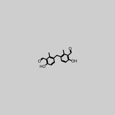 Cc1c(Cc2ccc(O)c(C=O)c2C)ccc(O)c1C=O